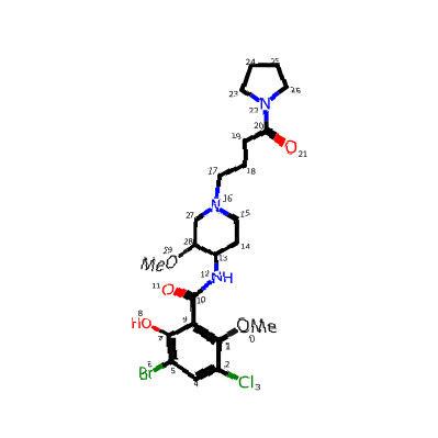 COc1c(Cl)cc(Br)c(O)c1C(=O)NC1CCN(CCCC(=O)N2CCCC2)CC1OC